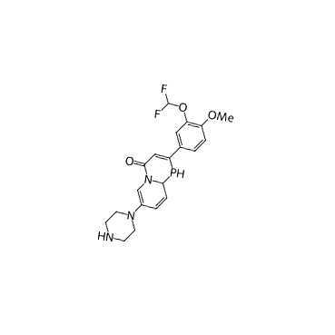 COc1ccc(C2=CC(=O)N3C=C(N4CCNCC4)C=CC3P2)cc1OC(F)F